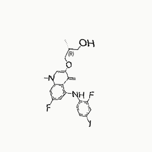 C=C1C(OC[C@H](C)CO)=CN(C)c2cc(F)cc(Nc3ccc(I)cc3F)c21